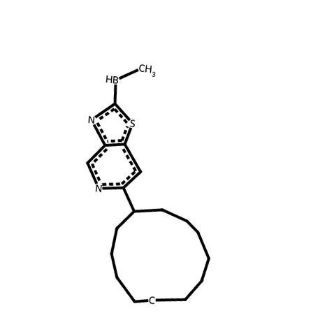 CBc1nc2cnc(C3CCCCCCCCCCC3)cc2s1